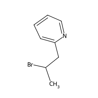 CC(Br)Cc1ccccn1